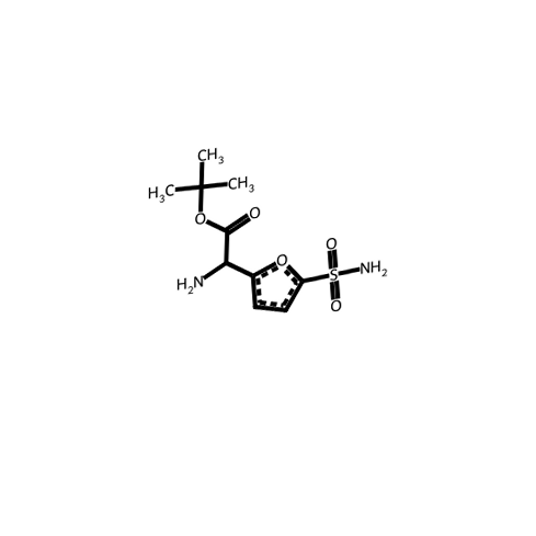 CC(C)(C)OC(=O)C(N)c1ccc(S(N)(=O)=O)o1